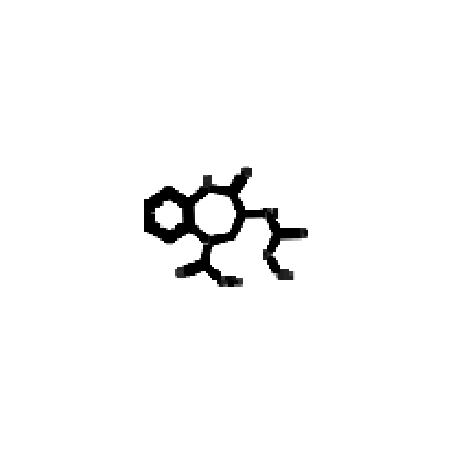 COC(=O)N1CC(NC(=O)OC(C)(C)C)C(=O)Nc2ccccc21